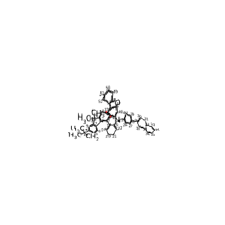 CC(C)(C)c1ccc2c(c1)C(C)(C)c1cccc(C3=CCCC=C3N(c3ccc(C4=CCC5C=CC=CC5=C4)cc3)c3ccc4c(c3)oc3ccccc34)c1-2